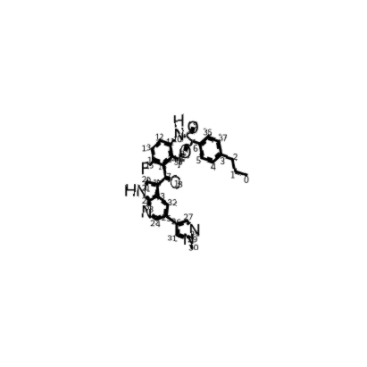 CCCc1ccc(S(=O)(=O)Nc2ccc(F)c(C(=O)c3c[nH]c4ncc(-c5cnn(C)c5)cc34)c2F)cc1